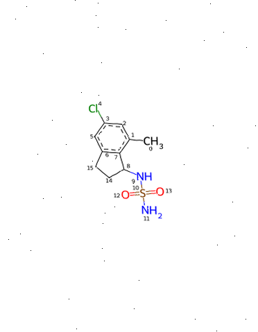 Cc1cc(Cl)cc2c1C(NS(N)(=O)=O)CC2